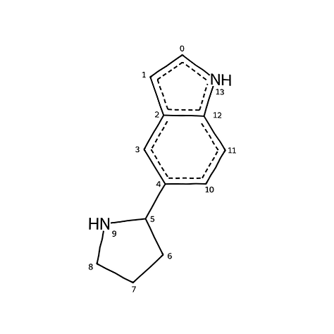 c1cc2cc(C3CCCN3)ccc2[nH]1